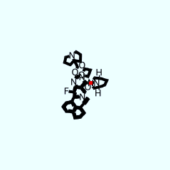 C#Cc1cccc2cccc(-c3ncc4c(N5C[C@H]6CC[C@@H](C5)N6C(=O)[C@H]5CC(=O)O5)nc(OCC56CCCN5CCC6)nc4c3F)c12